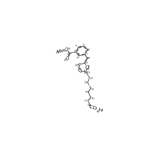 COC(=O)c1cccc(C=C2ON(CCCCCCC(=O)O)OS2)c1